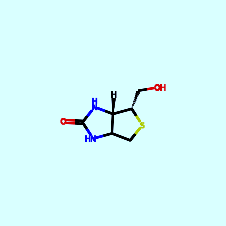 O=C1NC2CS[C@@H](CO)[C@H]2N1